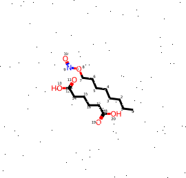 CCCCCCCCON=O.O=C(O)CCCCC(=O)O